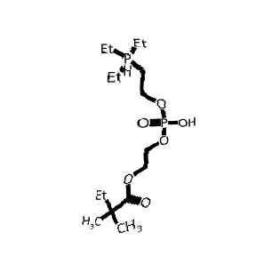 CCC(C)(C)C(=O)OCCOP(=O)(O)OCC[PH](CC)(CC)CC